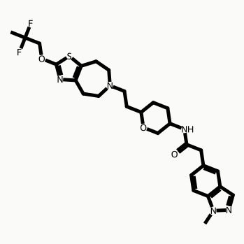 Cn1ncc2cc(CC(=O)NC3CCC(CCN4CCc5nc(OCC(C)(F)F)sc5CC4)OC3)ccc21